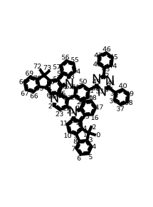 CC1(C)c2ccccc2-c2ccc3c(c21)c1ccccc1n3-c1ccncc1-c1ccc(-c2nc(-c3ccccc3)nc(-c3ccccc3)n2)cc1-n1c2ccccc2c2c3c(ccc21)-c1ccccc1C3(C)C